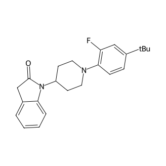 CC(C)(C)c1ccc(N2CCC(N3C(=O)Cc4ccccc43)CC2)c(F)c1